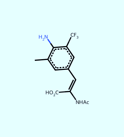 CC(=O)NC(=Cc1cc(C)c(N)c(C(F)(F)F)c1)C(=O)O